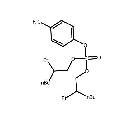 CCCCC(CC)COP(=O)(OCC(CC)CCCC)Oc1ccc(C(F)(F)F)cc1